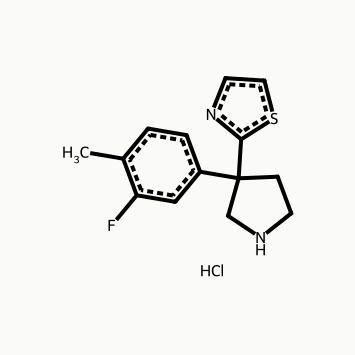 Cc1ccc(C2(c3nccs3)CCNC2)cc1F.Cl